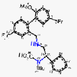 COc1ccc(C(C)C)cc1-c1ccc(C(F)(F)F)cc1CNC[C@@H](c1ccccc1)N(C(=O)O)C(C)(C)C